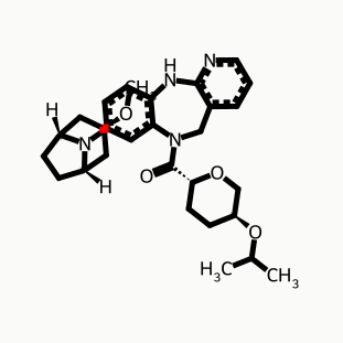 CO[C@@H]1C[C@H]2CC[C@@H](C1)N2c1ccc2c(c1)N(C(=O)[C@H]1CC[C@H](OC(C)C)CO1)Cc1cccnc1N2